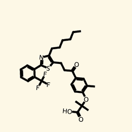 CCCCCCc1nc(-c2ccccc2C(F)(F)F)sc1CCC(=O)c1ccc(OC(C)(C)C(=O)O)c(C)c1